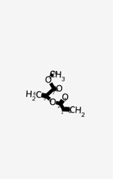 C=CC(=O)OC(=C)C(=O)OC